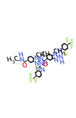 CCNC(=O)c1ccc2c(c1)NC(Nc1nc3ccc(C(F)(F)F)cc3s1)(N(CC)C(=O)c1ccc3c(c1)nc(Nc1nc4ccc(C(F)(F)F)cc4s1)n3C)N2C